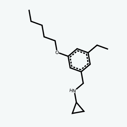 CCCCCOc1cc(CC)cc(CNC2CC2)c1